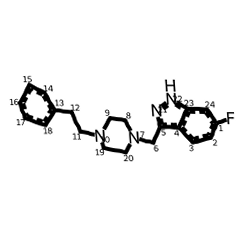 Fc1ccc2c(CN3CCN(CCc4ccccc4)CC3)n[nH]c2c1